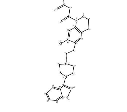 O=C(O)CC(=O)N1OCCc2cc(CCN3CCN(c4nsc5ccccc45)CC3)c(Cl)cc21